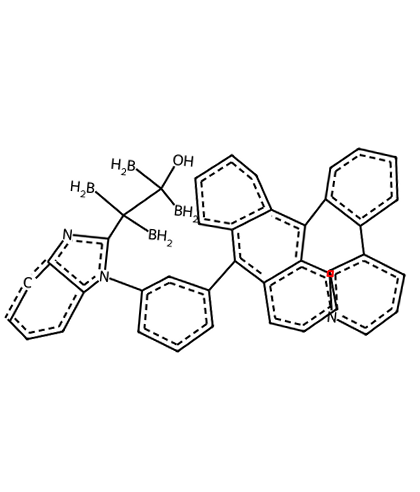 BC(B)(O)C(B)(B)c1nc2ccccc2n1-c1cccc(-c2c3ccccc3c(-c3ccccc3-c3cccnc3)c3ccccc23)c1